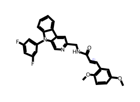 COc1ccc(OC)c(/C=C/C(=O)NCc2cc3c4ccccc4n(-c4cc(F)cc(F)c4)c3cn2)c1